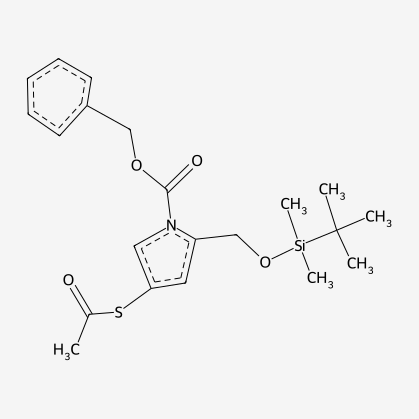 CC(=O)Sc1cc(CO[Si](C)(C)C(C)(C)C)n(C(=O)OCc2ccccc2)c1